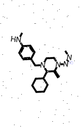 C=C1C(C2CCCCC2)N(Cc2ccc(NC)cc2)CCN1/N=N\C